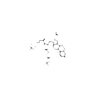 C=C(C(=O)[C@H](OC(=O)CNC(=O)OC(C)(C)C)[C@@H](C)[C@H]1[C@@H](OC(C)=O)C[C@@]2(C)[C@@H]3CC[C@H]4[C@H](C)C(=O)C=C[C@@]45C[C@@]35CC[C@]12C)[C@@H](C)CO[Si](C)(C)C(C)(C)C